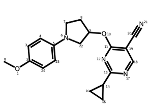 COc1ccc(N2CCC(Oc3nc(C4CC4)ncc3C#N)C2)cc1